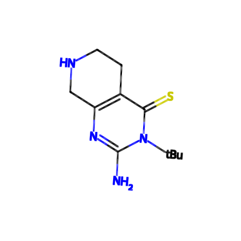 CC(C)(C)n1c(N)nc2c(c1=S)CCNC2